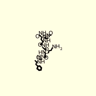 CC(Cc1ccccc1)NC(=O)CNC(=O)[C@H](CCCCN)NC(=O)CNC(=O)C(CCC(N)=O)NC(=O)CNC=O